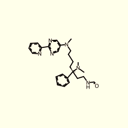 CN(CCCC[C@@](CCNC=O)(c1ccccc1)N(C)C)c1cnc(-c2ccccn2)nc1